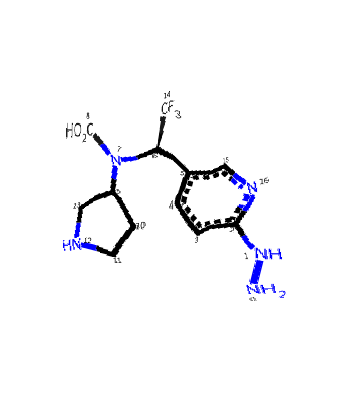 NNc1ccc([C@@H](N(C(=O)O)C2CCNC2)C(F)(F)F)cn1